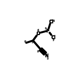 CC(C#N)OP(Cl)Cl